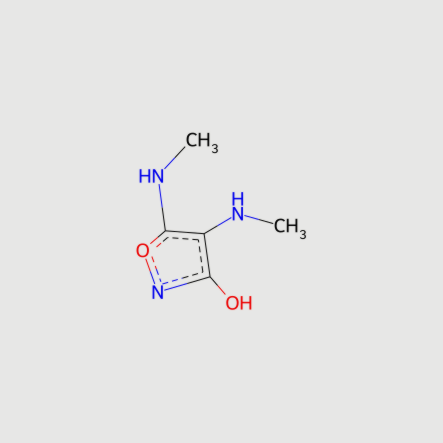 CNc1onc(O)c1NC